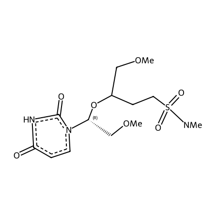 CNS(=O)(=O)CCC(COC)O[C@H](COC)n1ccc(=O)[nH]c1=O